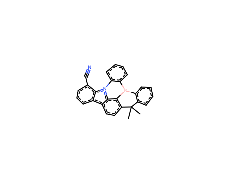 CC1(C)c2ccccc2B2c3ccccc3-n3c4c(C#N)cccc4c4ccc1c2c43